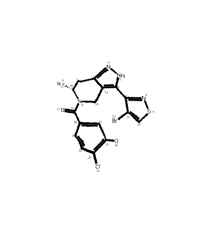 C[C@@H]1Cc2n[nH]c(-c3nocc3Br)c2CN1C(=O)c1ccc(Cl)c(Cl)c1